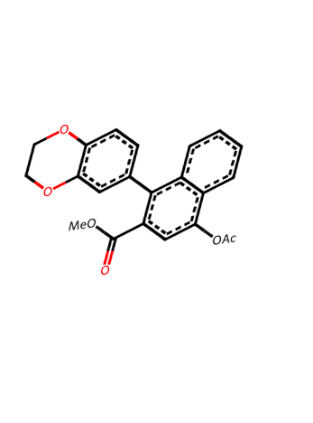 COC(=O)c1cc(OC(C)=O)c2ccccc2c1-c1ccc2c(c1)OCCO2